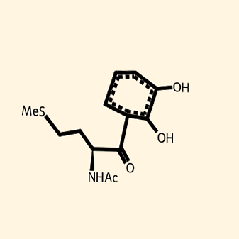 CSCC[C@H](NC(C)=O)C(=O)c1cccc(O)c1O